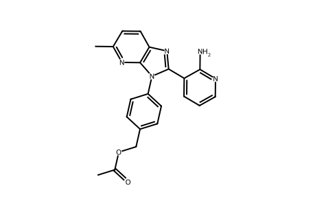 CC(=O)OCc1ccc(-n2c(-c3cccnc3N)nc3ccc(C)nc32)cc1